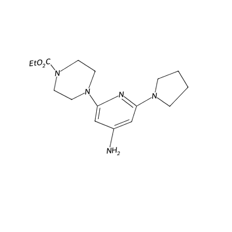 CCOC(=O)N1CCN(c2cc(N)cc(N3CCCC3)n2)CC1